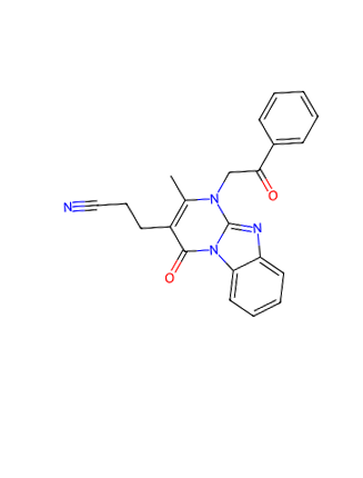 Cc1c(CCC#N)c(=O)n2c3ccccc3nc2n1CC(=O)c1ccccc1